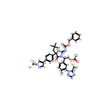 CC(C)(C)CC1(c2ccc(-c3cnn(C(F)F)c3)cc2)NC(=NC(=O)OCc2ccccc2)N(C(COC(=O)Cl)c2ccc(Cl)c(-n3ncnc3C(F)F)c2)C1=O